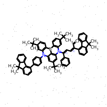 C=C/C(=C\C=C(/c1ccccc1)N1c2cc(C(C)(C)C)ccc2B2c3ccc(C(C)(C)C)cc3N(c3ccc(-c4cccc5c4-c4ccccc4C5(C)C)cc3)c3cc(C(C)(C)C)cc1c32)c1cccc2c1-c1ccccc1C2(C)C